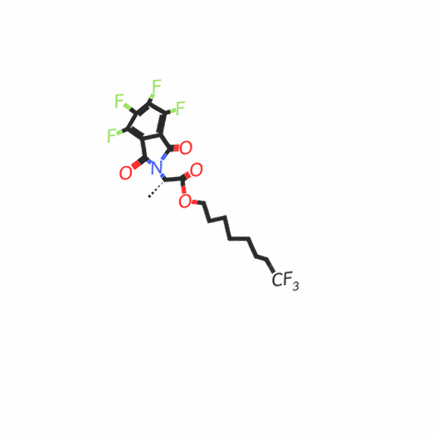 C[C@@H](C(=O)OCCCCCCCC(F)(F)F)N1C(=O)c2c(F)c(F)c(F)c(F)c2C1=O